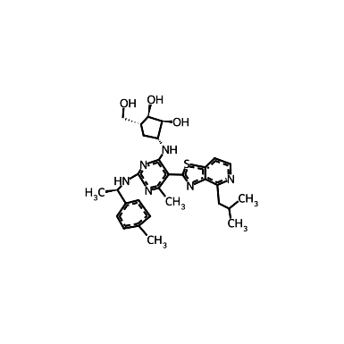 Cc1ccc([C@@H](C)Nc2nc(C)c(-c3nc4c(CC(C)C)nccc4s3)c(N[C@@H]3C[C@H](CO)[C@@H](O)[C@H]3O)n2)cc1